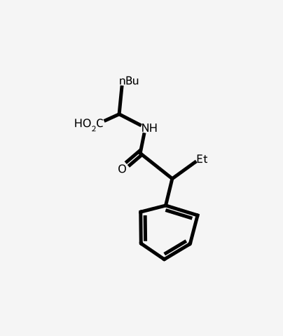 CCCCC(NC(=O)C(CC)c1ccccc1)C(=O)O